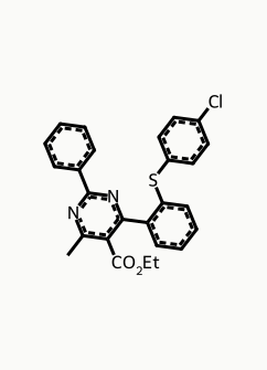 CCOC(=O)c1c(C)nc(-c2ccccc2)nc1-c1ccccc1Sc1ccc(Cl)cc1